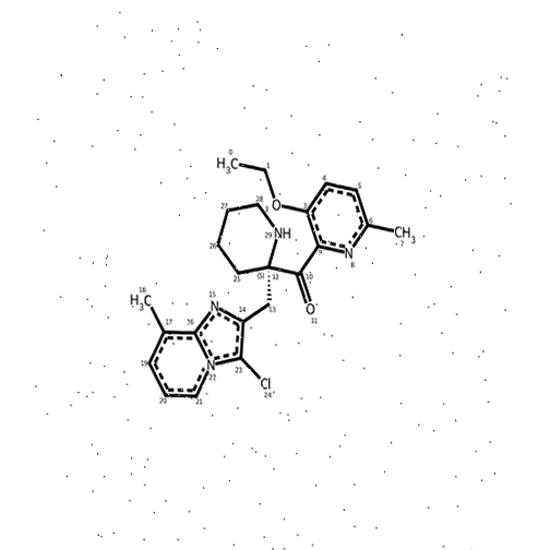 CCOc1ccc(C)nc1C(=O)[C@@]1(Cc2nc3c(C)cccn3c2Cl)CCCCN1